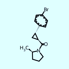 C[C@@H]1CCCN1C(=O)[C@H]1C[C@@H]1c1ccc(Br)cc1